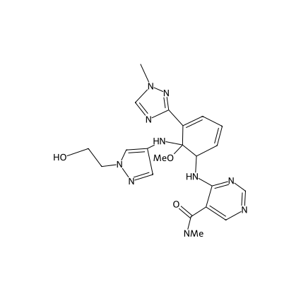 CNC(=O)c1cncnc1NC1C=CC=C(c2ncn(C)n2)C1(Nc1cnn(CCO)c1)OC